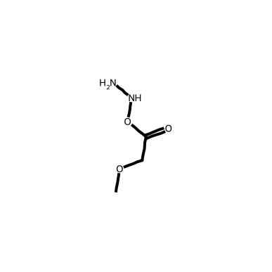 COCC(=O)ONN